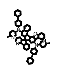 Cc1ccc(N(c2ccc(-c3ccccc3)cc2)c2cc3c(c4ccccc24)-c2c(cc(N(c4ccc(-c5ccccc5)cc4)c4ccc(C)nc4)c4c2oc2ccccc24)C32c3ccccc3-c3ncccc32)cn1